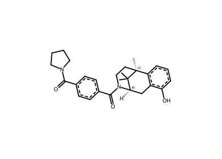 CC1(C)[C@H]2Cc3c(O)cccc3[C@]1(C)CCN2C(=O)c1ccc(C(=O)N2CCCC2)cc1